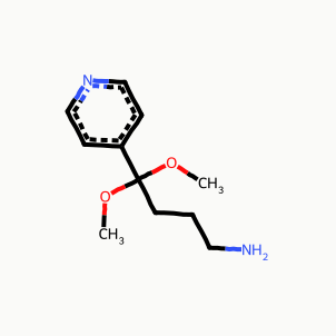 COC(CCCN)(OC)c1ccncc1